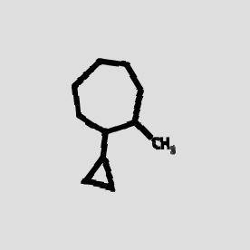 CC1CCCCC[C]1C1CC1